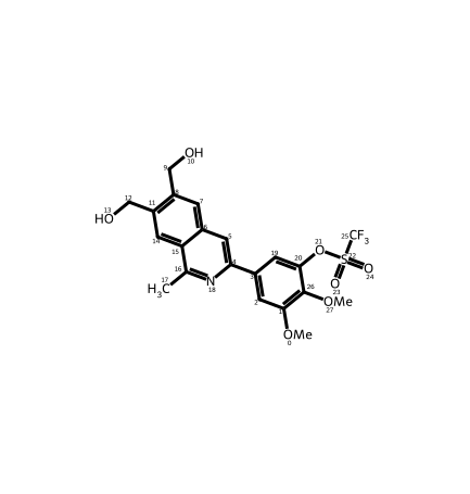 COc1cc(-c2cc3cc(CO)c(CO)cc3c(C)n2)cc(OS(=O)(=O)C(F)(F)F)c1OC